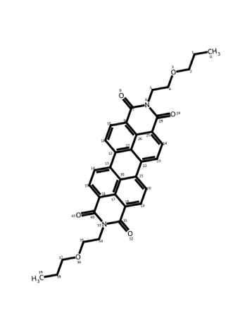 CCCOCCN1C(=O)c2ccc3c4ccc5c6c(ccc(c7ccc(c2c37)C1=O)c64)C(=O)N(CCOCCC)C5=O